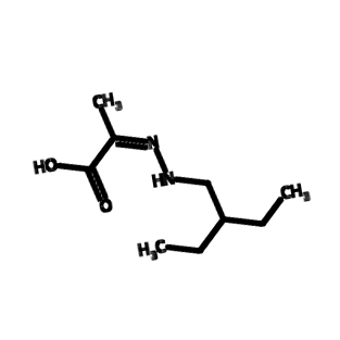 CCC(CC)CNN=C(C)C(=O)O